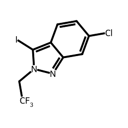 FC(F)(F)Cn1nc2cc(Cl)ccc2c1I